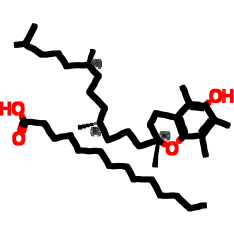 CCCCCCCCCCCCCC(=O)O.Cc1c(C)c2c(c(C)c1O)CC[C@@](C)(CCC[C@H](C)CCC[C@H](C)CCCC(C)C)O2